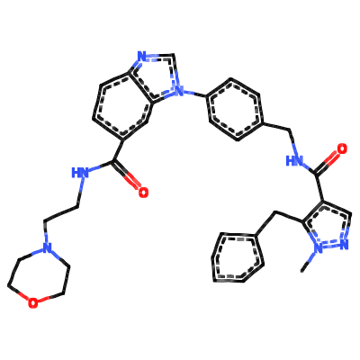 Cn1ncc(C(=O)NCc2ccc(-n3cnc4ccc(C(=O)NCCN5CCOCC5)cc43)cc2)c1Cc1ccccc1